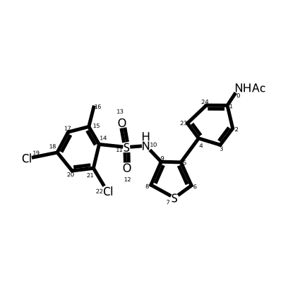 CC(=O)Nc1ccc(-c2cscc2NS(=O)(=O)c2c(C)cc(Cl)cc2Cl)cc1